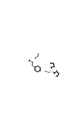 CCCOC(Cc1ccc(OCCN2c3sccc3Oc3ccsc32)cc1)C(=O)O